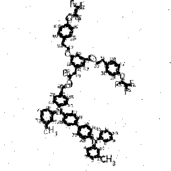 Cc1cccc(N(c2ccccc2)c2ccc(-c3ccc(N(c4ccc(COC(=O)Cc5cc(OCCc6ccc(OC(F)=C(F)F)cc6)cc(OCCc6ccc(OC(F)=C(F)F)cc6)c5)cc4)c4cccc(C)c4)cc3)cc2)c1